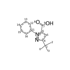 CC(C)(C)c1cc(C(=O)O)n(-c2ccccc2)n1